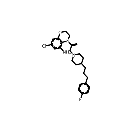 C=C(CN1CCC(CCCc2ccc(F)cc2)CC1)N1CCOc2cc(Cl)cc(N)c21